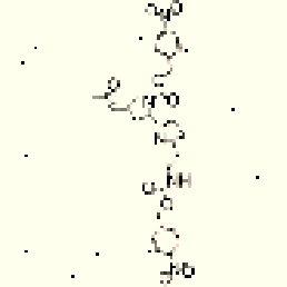 CC(=O)SC1CC(c2csc(CCNC(=O)OCc3ccc([N+](=O)[O-])cc3)n2)N(C(=O)OCc2ccc([N+](=O)[O-])cc2)C1